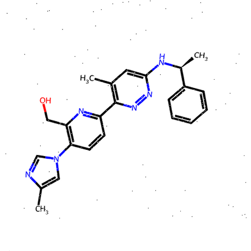 Cc1cn(-c2ccc(-c3nnc(N[C@@H](C)c4ccccc4)cc3C)nc2CO)cn1